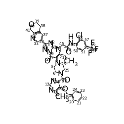 CCc1c(N2CCN(C(=O)c3ncnc(C)c3OCc3ccccc3)CC2)c(=O)n2nc(-c3cnc4c(c3)CCOC4)nc2n1CC(=O)Nc1ccc(C(F)(F)F)cc1Cl